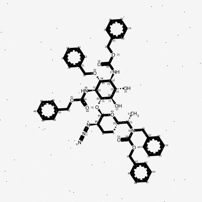 C[C@@H]([C@@H]1CC[C@@H](N=[N+]=[N-])[C@@H](O[C@H]2[C@H](O)[C@@H](O)[C@H](NC(=O)OCc3ccccc3)[C@@H](OCc3ccccc3)[C@@H]2NC(=O)OCc2ccccc2)O1)N(Cc1ccccc1)C(=O)OCc1ccccc1